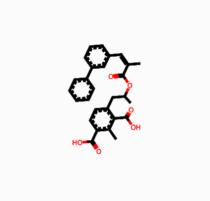 CC(=Cc1cccc(-c2ccccc2)c1)C(=O)OC(C)Cc1ccc(C(=O)O)c(C)c1C(=O)O